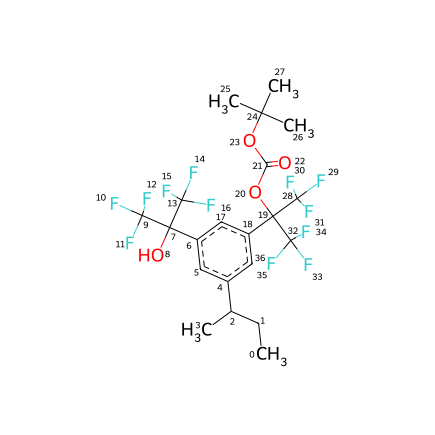 CCC(C)c1cc(C(O)(C(F)(F)F)C(F)(F)F)cc(C(OC(=O)OC(C)(C)C)(C(F)(F)F)C(F)(F)F)c1